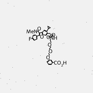 CNC(=O)c1c(-c2ccc(F)cc2)oc2cc(CS(=O)(=O)NCCOCCOCCOc3cccc(C(=O)O)c3)c(C3CC3)cc12